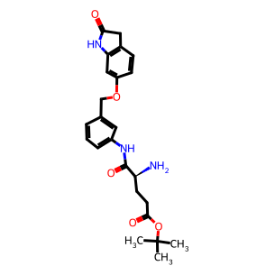 CC(C)(C)OC(=O)CC[C@H](N)C(=O)Nc1cccc(COc2ccc3c(c2)NC(=O)C3)c1